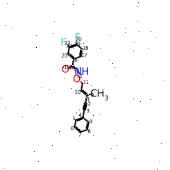 CC(C#Cc1ccccc1)=CCONC(=O)c1ccc(F)c(F)c1